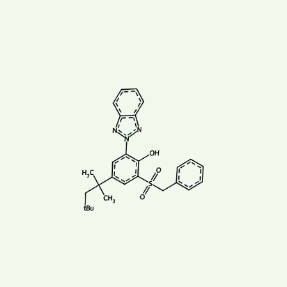 CC(C)(C)CC(C)(C)c1cc(-n2nc3ccccc3n2)c(O)c(S(=O)(=O)Cc2ccccc2)c1